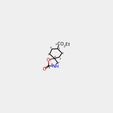 CCOC(=O)C1CCC2(CC1)CNC(=O)O2